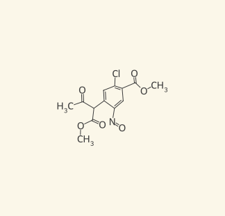 COC(=O)c1cc(N=O)c(C(C(C)=O)C(=O)OC)cc1Cl